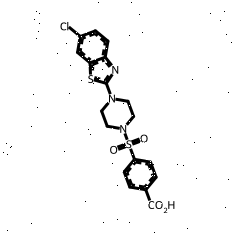 O=C(O)c1ccc(S(=O)(=O)N2CCN(c3nc4ccc(Cl)cc4s3)CC2)cc1